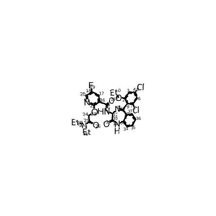 CCOc1cc(Cl)cc(Cl)c1C1=NC(NC(=O)c2cc(F)cnc2OCC(=O)N(CC)CC)C(=O)Nc2ccccc21